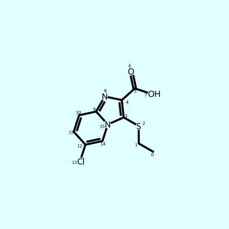 CCSc1c(C(=O)O)nc2ccc(Cl)cn12